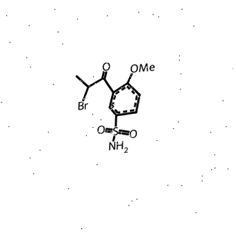 COc1ccc(S(N)(=O)=O)cc1C(=O)C(C)Br